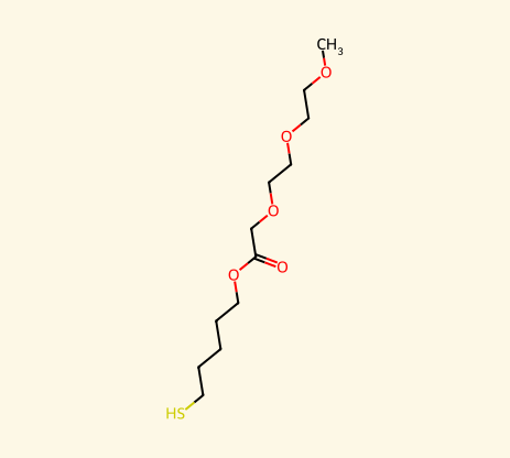 COCCOCCOCC(=O)OCCCCCS